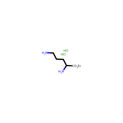 CCOC(=O)C(N)CCCN.Cl.Cl